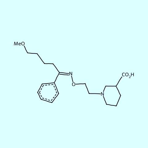 COCCCCC(=NOCCN1CCCC(C(=O)O)C1)c1ccccc1